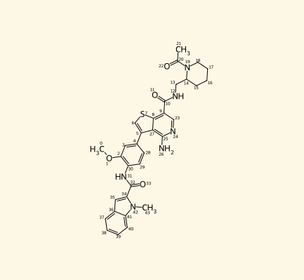 COc1cc(-c2csc3c(C(=O)NCC4CCCCN4C(C)=O)cnc(N)c23)ccc1NC(=O)c1cc2ccccc2n1C